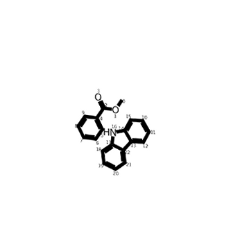 COC(=O)c1ccccc1.c1ccc2c(c1)[nH]c1ccccc12